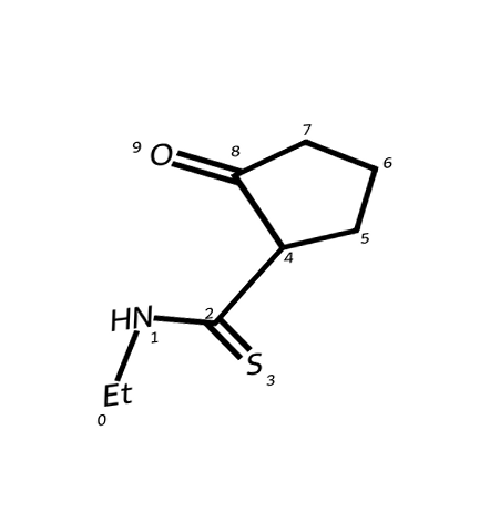 CCNC(=S)C1CCCC1=O